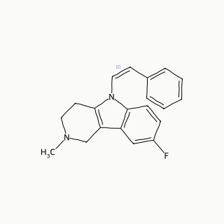 CN1CCc2c(c3cc(F)ccc3n2/C=C\c2ccccc2)C1